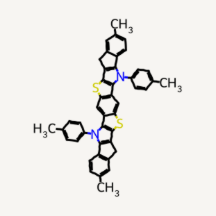 Cc1ccc(-n2c3c(c4sc5cc6c(cc5c42)sc2c4c(n(-c5ccc(C)cc5)c26)-c2ccc(C)cc2C4)Cc2cc(C)ccc2-3)cc1